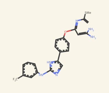 C=C(/N=C(\C=C(N)N)Oc1ccc(-c2cnc(Nc3cccc(C(F)(F)F)c3)[nH]2)cc1)SC